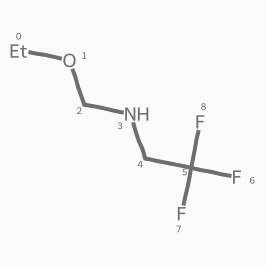 CCOCNCC(F)(F)F